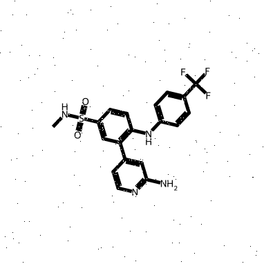 CNS(=O)(=O)c1ccc(Nc2ccc(C(F)(F)F)cc2)c(-c2ccnc(N)c2)c1